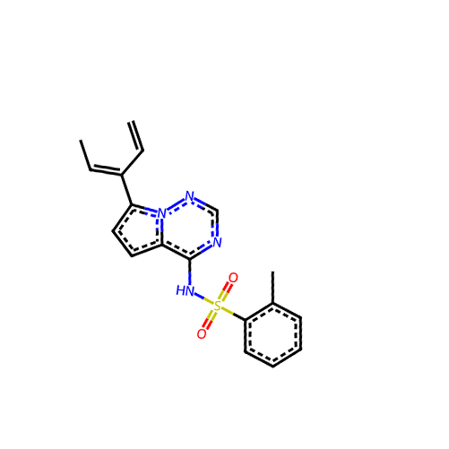 C=C/C(=C\C)c1ccc2c(NS(=O)(=O)c3ccccc3C)ncnn12